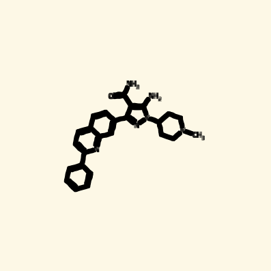 CN1CCC(n2nc(-c3ccc4ccc(-c5ccccc5)nc4c3)c(C(N)=O)c2N)CC1